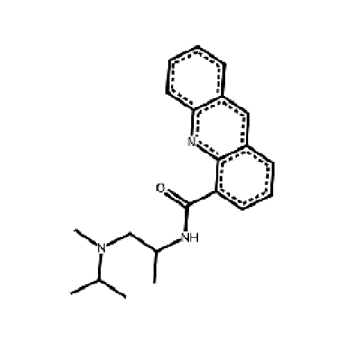 CC(CN(C)C(C)C)NC(=O)c1cccc2cc3ccccc3nc12